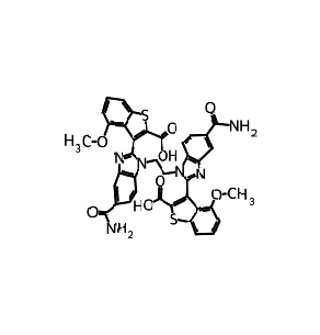 COc1cccc2sc(C(=O)O)c(-c3nc4cc(C(N)=O)ccc4n3CCn3c(-c4c(C(=O)O)sc5cccc(OC)c45)nc4cc(C(N)=O)ccc43)c12